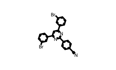 N#Cc1ccc(-c2nc(-c3cccc(Br)c3)cc(-c3cccc(Br)c3)n2)cc1